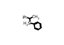 CC(C)C(C)[SiH2]c1ccccc1